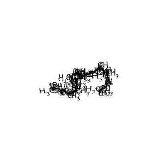 CC(C)C(C)(C)CCN(C)CC(C)(C)C(C)(C)C(=O)N(CCOCCCC(C)(C)CCOC(C)(C)CCN1C=C(CSC(C)(C)CC(C)(C)C)NC=N1)CCOCCOC(C)(C)CCOC(C)(C)CCn1cc(CSC(C)(C)CC(C)(C)C)nn1